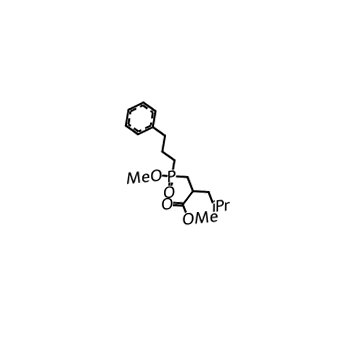 COC(=O)C(CC(C)C)CP(=O)(CCCc1ccccc1)OC